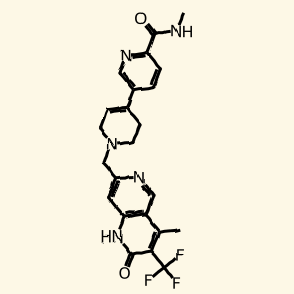 CNC(=O)c1ccc(C2=CCN(Cc3cc4[nH]c(=O)c(C(F)(F)F)c(C)c4cn3)CC2)cn1